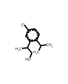 [CH2]C(CO)c1cc(Cl)ccc1C(C)C